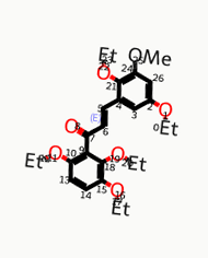 CCOc1cc(/C=C/C(=O)c2c(OCC)ccc(OCC)c2OCC)c(OCC)c(OC)c1